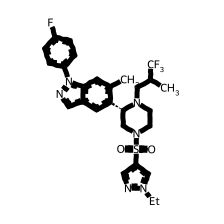 CCn1cc(S(=O)(=O)N2CCN(CC(C)C(F)(F)F)[C@@H](c3cc4cnn(-c5ccc(F)cc5)c4cc3C)C2)cn1